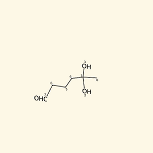 CC(O)(O)CCCC=O